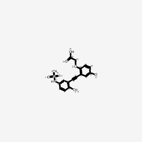 Cc1ccc(NS(C)(=O)=O)cc1C#Cc1cc(Cl)ccc1OCC(=O)O